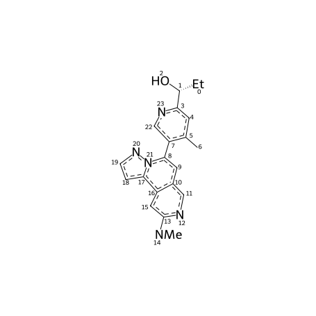 CC[C@@H](O)c1cc(C)c(-c2cc3cnc(NC)cc3c3ccnn23)cn1